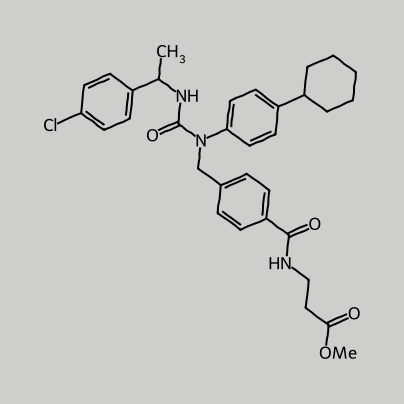 COC(=O)CCNC(=O)c1ccc(CN(C(=O)NC(C)c2ccc(Cl)cc2)c2ccc(C3CCCCC3)cc2)cc1